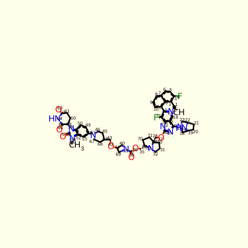 C#Cc1c(F)ccc2cccc(-c3ncc4c(N5CC6CCC(C5)N6)nc(OC[C@@]56CCCN5[C@H](COC(=O)N5CC(OCC7CCN(c8ccc9c(c8)n(C)c(=O)n9C8CCC(=O)NC8=O)CC7)C5)CC6)nc4c3F)c12